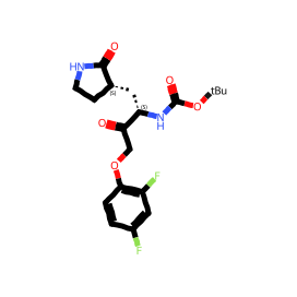 CC(C)(C)OC(=O)N[C@@H](C[C@@H]1CCNC1=O)C(=O)COc1ccc(F)cc1F